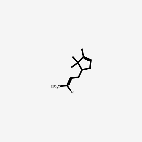 CCOC(=O)C(=CCC1CC=C(C)C1(C)C)C(C)=O